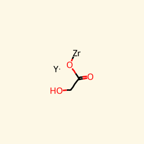 O=C(CO)[O][Zr].[Y]